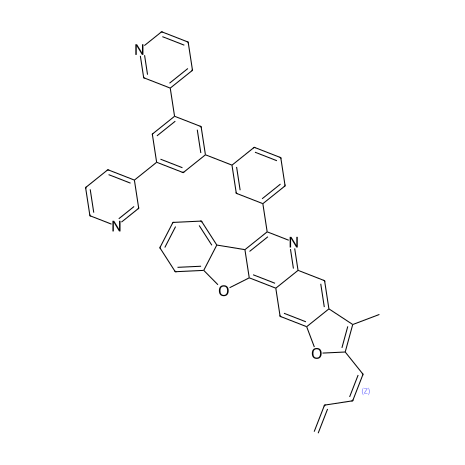 C=C/C=C\c1oc2cc3c(cc2c1C)nc(-c1cccc(-c2cc(-c4cccnc4)cc(-c4cccnc4)c2)c1)c1c2ccccc2oc31